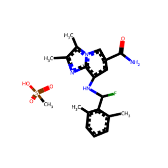 CS(=O)(=O)O.Cc1cccc(C)c1C(F)Nc1cc(C(N)=O)cn2c(C)c(C)nc12